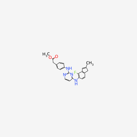 COC(=O)Cc1ccc(Nc2nccc(Nc3ccc4c(c3F)C=C(C)C4)n2)cc1